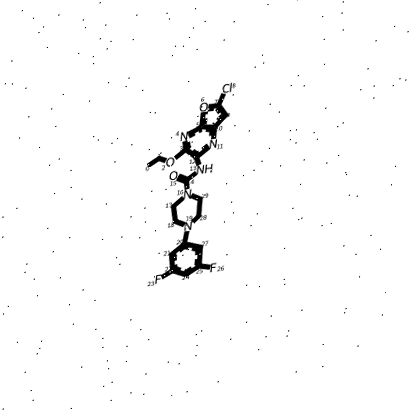 CCOc1nc2oc(Cl)cc2nc1NC(=O)N1CCN(c2cc(F)cc(F)c2)CC1